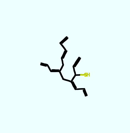 C=C/C=C(/C/C(=C/C=C)C/C=C/C=C)C(S)C=C